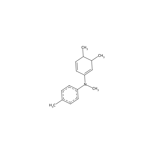 Cc1ccc(N(C)C2=CC(C)C(C)C=C2)cc1